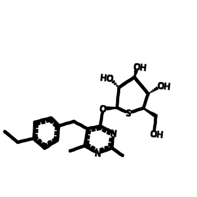 CCc1ccc(Cc2c(C)nc(C)nc2O[C@@H]2S[C@H](CO)[C@@H](O)[C@H](O)[C@H]2O)cc1